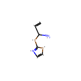 C=CC(N)Sc1nccs1